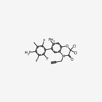 C#CCN1C(=O)C(Cl)(Cl)Oc2cc(P)c(-c3c(F)c(C)c(P)c(F)c3F)cc21